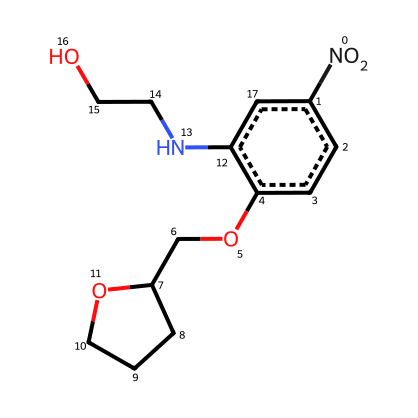 O=[N+]([O-])c1ccc(OCC2CCCO2)c(NCCO)c1